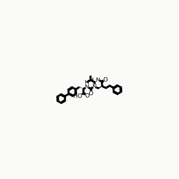 CC(C)CN(C[C@H](CCc1ccccc1)C(N)=O)C(=O)N[C@@H](Cc1ccc(-c2ccccc2)cc1)C(=O)O